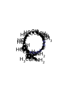 CC1OC(=O)CC(O)CC(O)CC(O)CCC(O)C(O)CC2(O)C[C@H](O)C(C(=O)O)C(CC(O[C@@H]3O[C@H](C)C(O)[C@H](N(CCCN)CCCN)[C@@H]3O)/C=C/C=C/C=C/C=C/CC/C=C/C=C/[C@H](C)C(O)[C@H]1C)O2